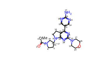 COC(=O)N1CC[C@](C)(N2CCc3c(-c4cnc(N)nc4)nc(N4CCOCC4)nc32)C1